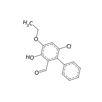 CCOc1cc(Cl)c(-c2ccccc2)c(C=O)c1O